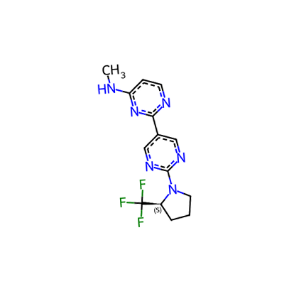 CNc1ccnc(-c2cnc(N3CCC[C@H]3C(F)(F)F)nc2)n1